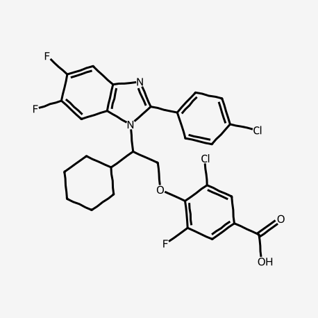 O=C(O)c1cc(F)c(OCC(C2CCCCC2)n2c(-c3ccc(Cl)cc3)nc3cc(F)c(F)cc32)c(Cl)c1